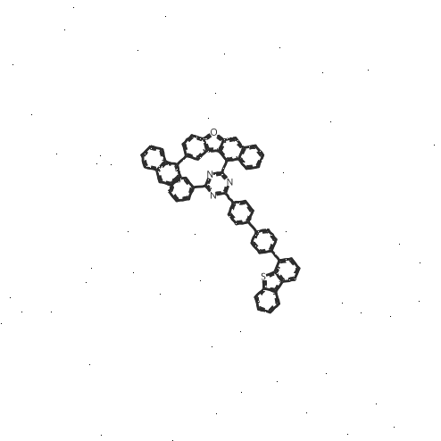 c1ccc(-c2nc(-c3ccc(-c4ccc(-c5cccc6c5sc5ccccc56)cc4)cc3)nc(-c3c4ccccc4cc4oc5ccc(-c6cccc7ccccc67)cc5c34)n2)cc1